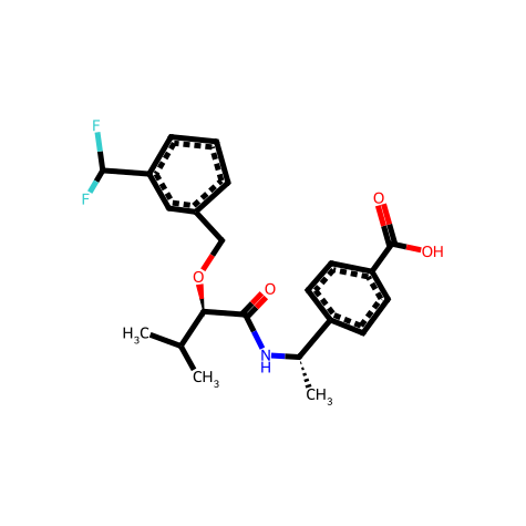 CC(C)[C@@H](OCc1cccc(C(F)F)c1)C(=O)N[C@@H](C)c1ccc(C(=O)O)cc1